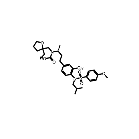 CCC1(CN(C(=O)O)[C@@H](C)CCc2ccc(N(CC(C)C)S(=O)(=O)c3ccc(OC)cc3)c(O)c2)CCCO1